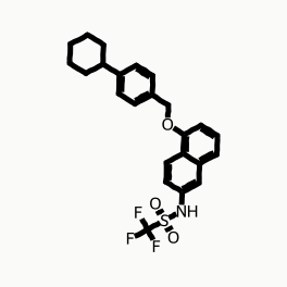 O=S(=O)(Nc1ccc2c(OCc3ccc(C4CCCCC4)cc3)cccc2c1)C(F)(F)F